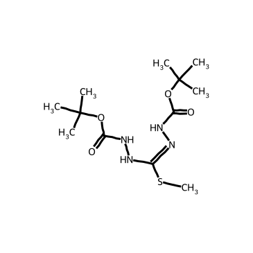 CSC(=NNC(=O)OC(C)(C)C)NNC(=O)OC(C)(C)C